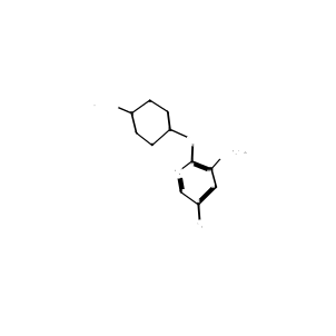 COc1cc([N+](=O)[O-])cnc1OC1CCC(C(=O)O)CC1